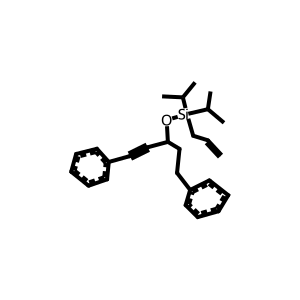 C=CC[Si](OC(C#Cc1ccccc1)CCc1ccccc1)(C(C)C)C(C)C